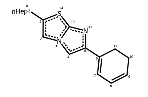 CCCCCCCc1cn2cc(C3=CC=CCC3)nc2s1